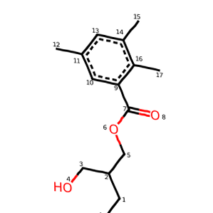 CCC(CO)COC(=O)c1cc(C)cc(C)c1C